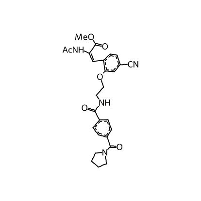 COC(=O)/C(=C\c1ccc(C#N)cc1OCCNC(=O)c1ccc(C(=O)N2CCCC2)cc1)NC(C)=O